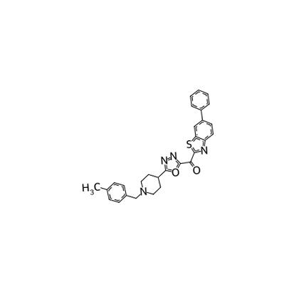 Cc1ccc(CN2CCC(c3nnc(C(=O)c4nc5ccc(-c6ccccc6)cc5s4)o3)CC2)cc1